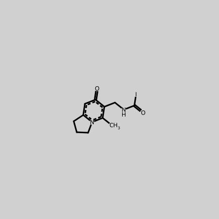 Cc1c(CNC(=O)I)c(=O)cc2n1CCC2